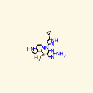 C[C@H](c1cnc(N)nc1Nc1cc(C2CC2)[nH]n1)c1nccc2[nH]ccc12